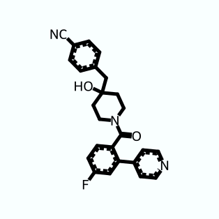 N#Cc1ccc(CC2(O)CCN(C(=O)c3ccc(F)cc3-c3ccncc3)CC2)cc1